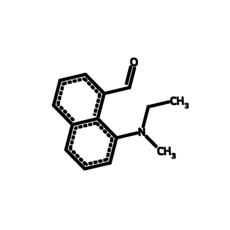 CCN(C)c1cccc2cccc(C=O)c12